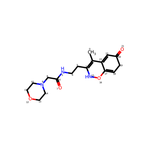 CC1=C(CCNC(=O)CN2CCOCC2)NOC2=CCC(=O)C=C21